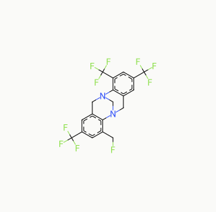 FCc1cc(C(F)(F)F)cc2c1N1Cc3cc(C(F)(F)F)cc(C(F)(F)F)c3N(C2)C1